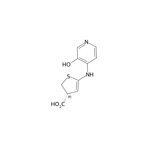 O=C(O)[C@H]1C=C(Nc2ccncc2O)SC1